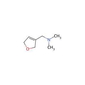 CN(C)CC1=CCOC1